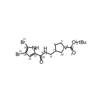 CC(C)(C)OC(=O)N1CCC(CNC(=O)c2cc(Br)c(Br)[nH]2)C1